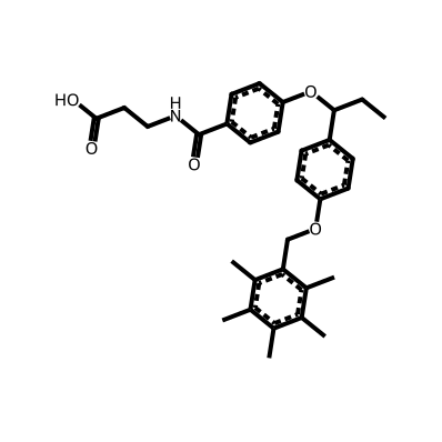 CCC(Oc1ccc(C(=O)NCCC(=O)O)cc1)c1ccc(OCc2c(C)c(C)c(C)c(C)c2C)cc1